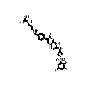 N=C(N)NCCCNCc1ccc(-c2c[nH]c(NC(=O)NC3CN(S(=O)(=O)c4cc(F)cc(F)c4F)C3)nc2=O)cc1